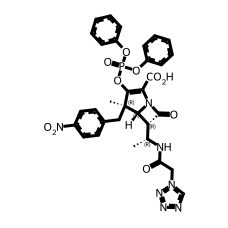 C[C@@H](NC(=O)Cn1cnnn1)[C@H]1C(=O)N2C(C(=O)O)=C(OP(=O)(Oc3ccccc3)Oc3ccccc3)[C@](C)(Cc3ccc([N+](=O)[O-])cc3)[C@@H]12